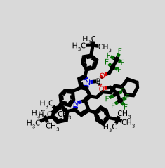 CC(C)(C)c1ccc(C2=CC(c3ccc(C(C)(C)C)cc3)=N/C2=C(/CCCCC2CCCCC2)c2c(-c3ccc(C(C)(C)C)cc3)cc(-c3ccc(C(C)(C)C)cc3)n2B(OCC(F)(F)C(F)(F)F)OCC(F)(F)C(F)(F)F)cc1